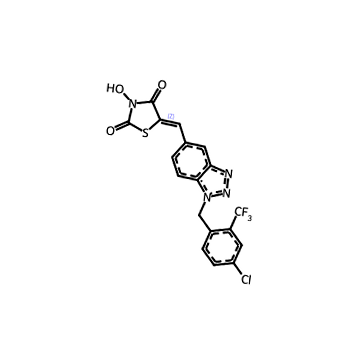 O=C1S/C(=C\c2ccc3c(c2)nnn3Cc2ccc(Cl)cc2C(F)(F)F)C(=O)N1O